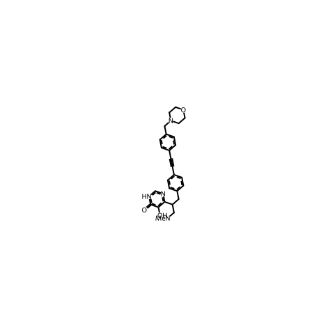 CNCC(Cc1ccc(C#Cc2ccc(CN3CCOCC3)cc2)cc1)c1nc[nH]c(=O)c1O